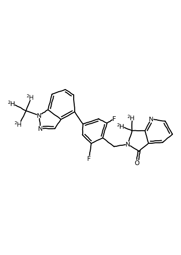 [2H]C1([2H])c2ncccc2C(=O)N1Cc1c(F)cc(-c2cccc3c2cnn3C([2H])([2H])[2H])cc1F